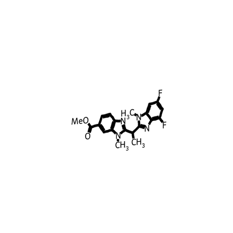 COC(=O)c1ccc2nc(C(C)c3nc4c(F)cc(F)cc4n3C)n(C)c2c1